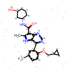 Cc1[nH]c2c(-c3cc(C(F)(F)F)ccc3OCC3CC3)ncnc2c1C(=O)N[C@H]1CCC[C@H](O)C1